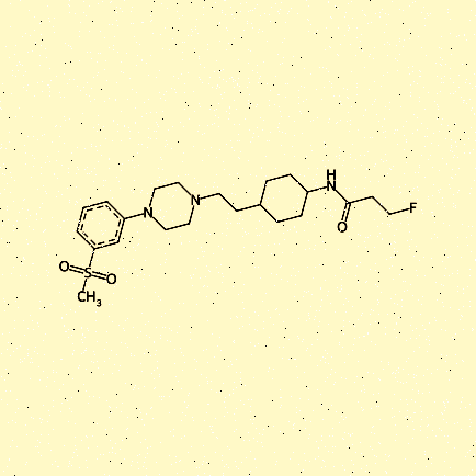 CS(=O)(=O)c1cccc(N2CCN(CCC3CCC(NC(=O)CCF)CC3)CC2)c1